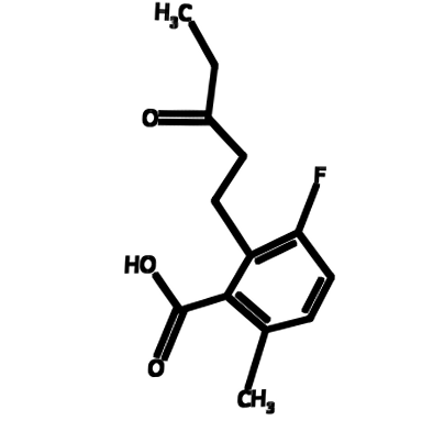 CCC(=O)CCc1c(F)ccc(C)c1C(=O)O